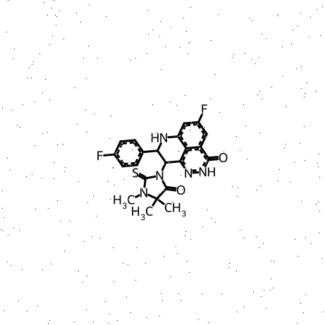 CN1C(=S)N(C2c3n[nH]c(=O)c4cc(F)cc(c34)NC2c2ccc(F)cc2)C(=O)C1(C)C